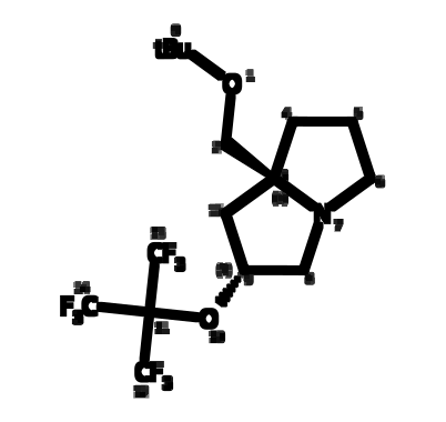 CC(C)(C)OC[C@@]12CCCN1C[C@H](OC(C(F)(F)F)(C(F)(F)F)C(F)(F)F)C2